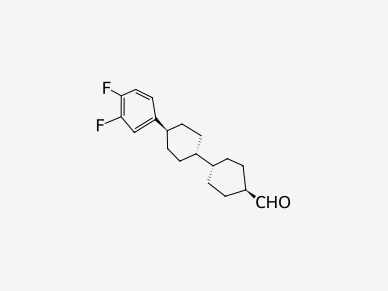 O=C[C@H]1CC[C@H]([C@H]2CC[C@H](c3ccc(F)c(F)c3)CC2)CC1